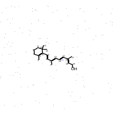 CC(C=CC1=C(C)CCCC1(C)C)=C/C=C/C(C)=CCO